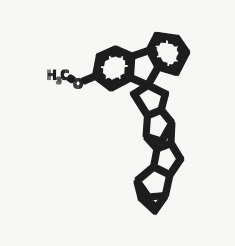 COc1ccc2c(c1)C1(CC3C(C1)C1CC3C3CC4C5C=CC(C5)C4C13)c1ccccc1-2